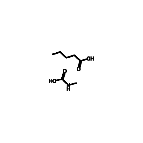 CCCCC(=O)O.CNC(=O)O